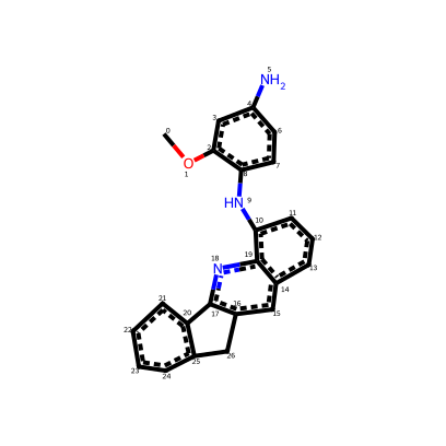 COc1cc(N)ccc1Nc1cccc2cc3c(nc12)-c1ccccc1C3